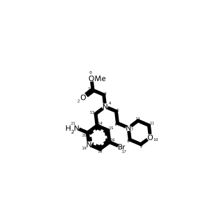 COC(=O)CN(CCN1CCOCC1)Cc1cc(Br)cnc1N